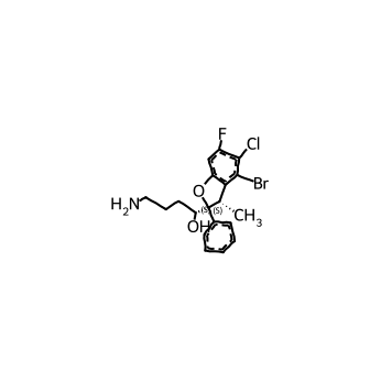 C[C@H]1c2c(cc(F)c(Cl)c2Br)O[C@@]1(c1ccccc1)C(O)CCCN